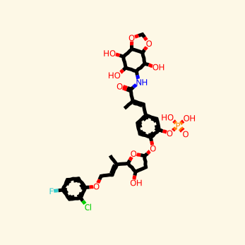 CC(=Cc1ccc(OC2CC(O)C(C(C)=CCOc3ccc(F)cc3Cl)O2)c(OP(=O)(O)O)c1)C(=O)NC1C(O)C(O)C2OCOC2C1O